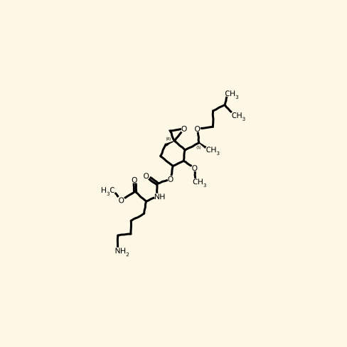 COC(=O)C(CCCCN)NC(=O)OC1CC[C@]2(CO2)C([C@H](C)OCCC(C)C)C1OC